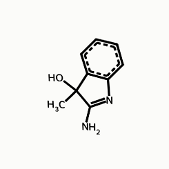 CC1(O)C(N)=Nc2ccccc21